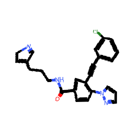 O=C(NCCCC1=CCN=C1)c1ccc(-n2cccn2)c(C#Cc2cccc(Cl)c2)c1